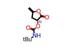 C=C1C[C@H](OC(=O)NC(C)(C)C)C(=O)O1